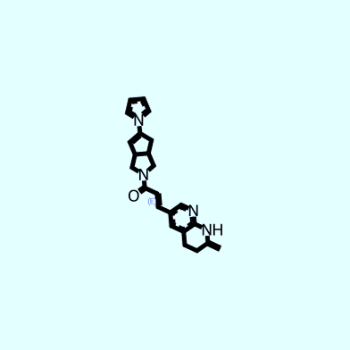 C=C1CCc2cc(/C=C/C(=O)N3CC4C=C(n5cccc5)CC4C3)cnc2N1